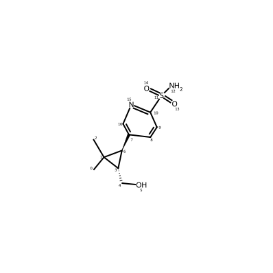 CC1(C)[C@@H](CO)[C@@H]1c1ccc(S(N)(=O)=O)nc1